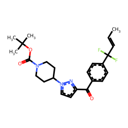 C/C=C/C(F)(F)c1ccc(C(=O)c2ccn(C3CCN(C(=O)OC(C)(C)C)CC3)n2)cc1